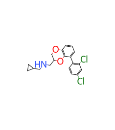 Clc1ccc(-c2cccc3c2OC(CNCC2CC2)CO3)c(Cl)c1